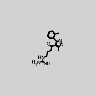 Cc1ccccc1-c1noc(C)c1C(=O)CCCNC(=N)N